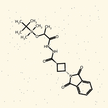 CC(O[Si](C)(C)C(C)(C)C)C(=O)NNC(=O)[C@H]1C[C@H](N2C(=O)c3ccccc3C2=O)C1